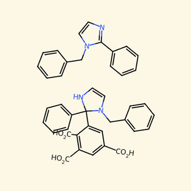 O=C(O)c1cc(C(=O)O)c(C(=O)O)c(C2(c3ccccc3)NC=CN2Cc2ccccc2)c1.c1ccc(Cn2ccnc2-c2ccccc2)cc1